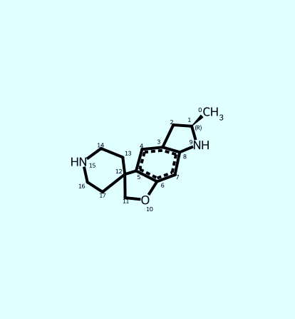 C[C@@H]1Cc2cc3c(cc2N1)OCC31CCNCC1